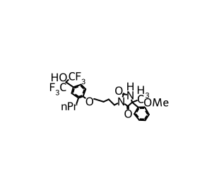 CCCc1cc(C(O)(C(F)(F)F)C(F)(F)F)ccc1OCCCCN1C(=O)NC(C)(c2ccccc2OC)C1=O